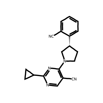 N#Cc1ccccc1[C@@H]1CCN(c2nc(C3CC3)ncc2C#N)C1